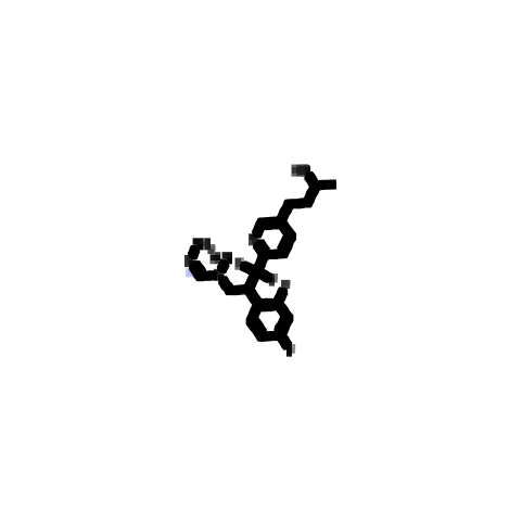 CC(O)CCc1ccc(C(F)(F)C(CN(N)/C=N\N)c2ccc(F)cc2F)nc1